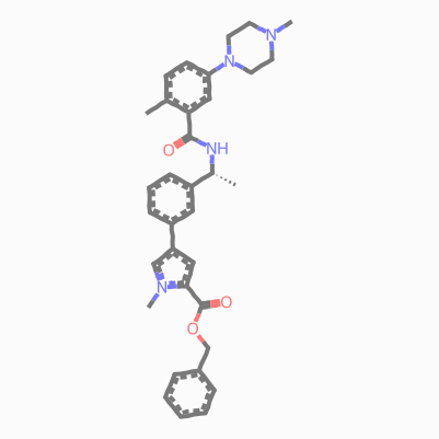 Cc1ccc(N2CCN(C)CC2)cc1C(=O)N[C@H](C)c1cccc(-c2cc(C(=O)OCc3ccccc3)n(C)c2)c1